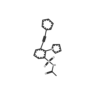 CC(=O)NS(=O)(=O)c1cccc(C#Cc2ccccc2)c1-n1cccc1